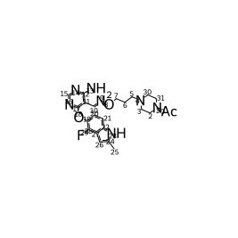 CC(=O)N1CCN(CCCON=Cc2c(N)ncnc2Oc2ccc3[nH]c(C)cc3c2F)CC1